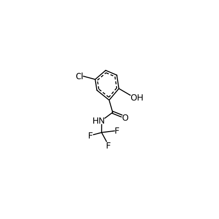 O=C(NC(F)(F)F)c1cc(Cl)ccc1O